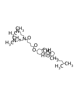 CC(C)CCCC[C@H]1CC[C@H]2[C@@H]3CC=C4C[C@@H](OC(=O)CCCC(=O)N(CCCN(C)C)CCCN(C)C)CC[C@]4(C)[C@H]3CC[C@]12C